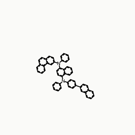 c1ccc(N(c2ccc(-c3ccc4ccccc4c3)cc2)c2ccc(N(c3ccccc3)c3ccc4ccc5ccccc5c4c3)c3ccccc23)cc1